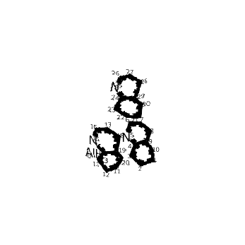 [AlH3].c1ccc2ncccc2c1.c1ccc2ncccc2c1.c1ccc2ncccc2c1